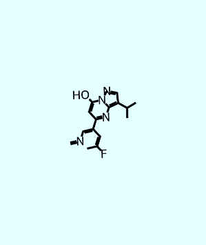 C=N/C=C(\C=C(/C)F)c1cc(O)n2ncc(C(C)C)c2n1